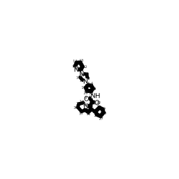 O=C(Nc1ccc(N2CCN(c3ccccn3)CC2)cc1)C(=O)c1c(-c2ccccc2)cc2n1CCCC2